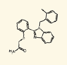 Cc1ccccc1Cn1c(-c2ccccc2OCC(N)=O)nc2ccccc21